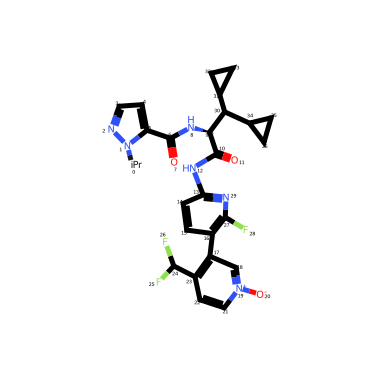 CC(C)n1nccc1C(=O)N[C@H](C(=O)Nc1ccc(-c2c[n+]([O-])ccc2C(F)F)c(F)n1)C(C1CC1)C1CC1